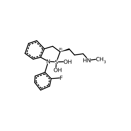 CNCCC[C@@H]1Cc2ccccc2N(c2ccccc2F)S1(O)O